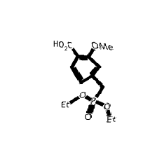 CCOP(=O)(Cc1ccc(C(=O)O)c(OC)c1)OCC